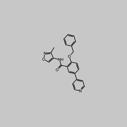 Cc1nocc1NC(=O)c1cc(-c2ccncc2)ccc1OCc1ccccc1